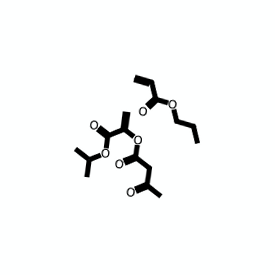 C=C(OC(=O)CC(C)=O)C(=O)OC(C)C.C=CC(=O)OCCC